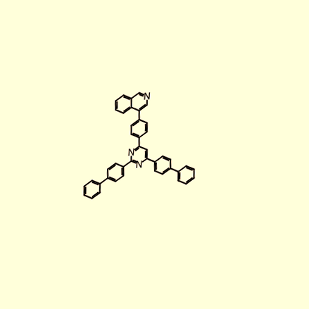 c1ccc(-c2ccc(-c3cc(-c4ccc(-c5cncc6ccccc56)cc4)nc(-c4ccc(-c5ccccc5)cc4)n3)cc2)cc1